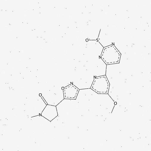 COc1cc(-c2cc(C3CCN(C)C3=O)on2)nc(-c2ccnc([S+](C)[O-])n2)c1